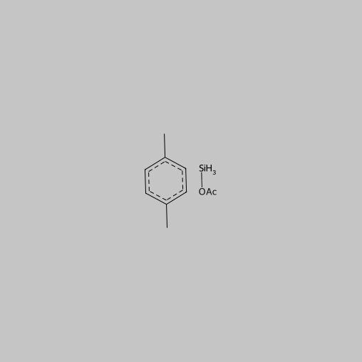 CC(=O)O[SiH3].Cc1ccc(C)cc1